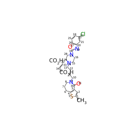 Cc1cc2c(s1)CCCN(CCCCN1CCN(c3nc4cc(Cl)ccc4o3)CC1)C2=O.O=C(O)C=CC(=O)O